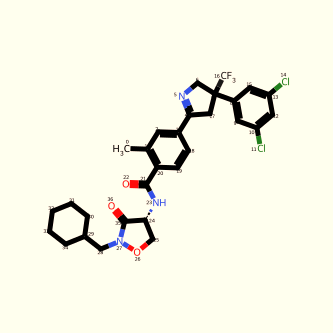 Cc1cc(C2=NCC(c3cc(Cl)cc(Cl)c3)(C(F)(F)F)C2)ccc1C(=O)N[C@@H]1CON(CC2CCCCC2)C1=O